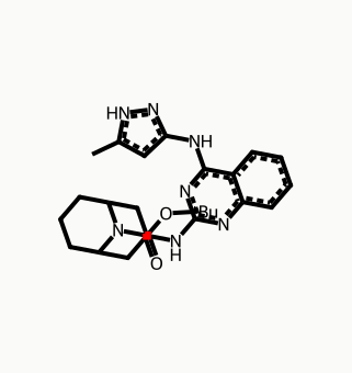 Cc1cc(Nc2nc(NC3CC4CCCC(C3)N4C(=O)OC(C)(C)C)nc3ccccc23)n[nH]1